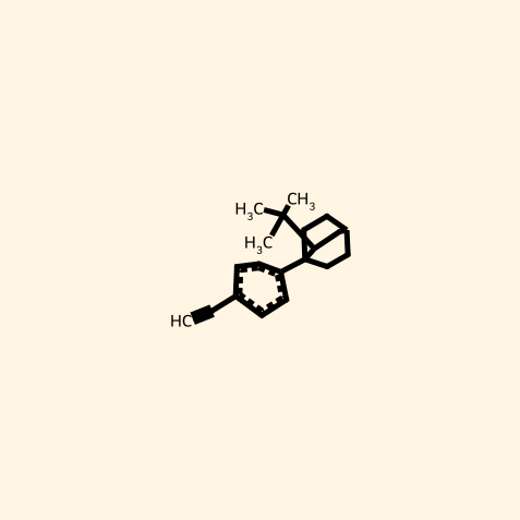 C#Cc1ccc(C23CCC(CC2)CC3C(C)(C)C)cc1